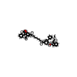 CCc1cccc(N(CC)C(=O)Cn2c(C(=O)NC3CCC(C(=O)NCCCCCCNC(=O)c4ccc5c(c4)C(=O)OC54c5cc[c]cc5Oc5c[c]ccc54)CC3)cc3ccccc32)c1